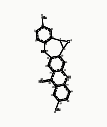 CC(C)(C)c1ccc2c(c1)C1OC1c1cc3[nH]c4ccc(C(C)(C)C)cc4c(=N)c3cc1N2